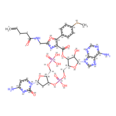 C=CCCC(=O)NCc1nc(C(=O)OC2C(O)[C@H](n3cnc4c(N)ncnc43)O[C@@H]2COP(=O)(O)OC2C[C@H](n3ccc(N)nc3=O)O[C@@H]2COP(=O)(O)O)c(-c2ccc(SC)cc2)o1